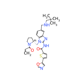 C=CC(=O)N1CCC[C@@H]1Cn1c(NC(=O)c2ccc(-c3cnco3)s2)nc2cc(CNCC(C)(C)C)ccc21